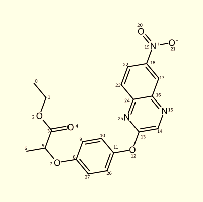 CCOC(=O)C(C)Oc1ccc(Oc2cnc3cc([N+](=O)[O-])ccc3n2)cc1